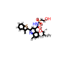 CCCC(CCC)[C@@H](C)Oc1ccc(C)c2nc(-c3sc4ccccc4c3C)cc(C(=O)NS(=O)(=O)CCO)c12